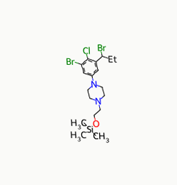 CCC(Br)c1cc(N2CCN(CCO[Si](C)(C)C)CC2)cc(Br)c1Cl